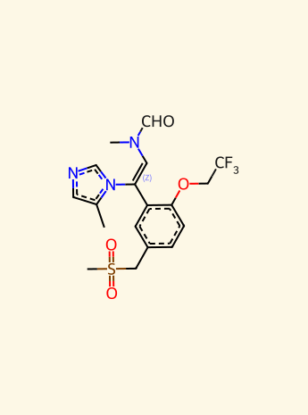 Cc1cncn1/C(=C\N(C)C=O)c1cc(CS(C)(=O)=O)ccc1OCC(F)(F)F